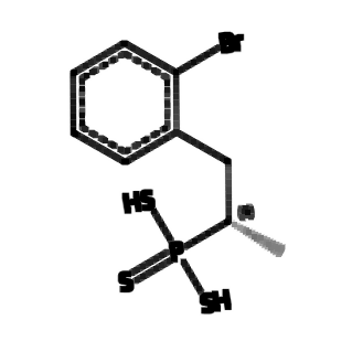 C[C@@H](Cc1ccccc1Br)P(=S)(S)S